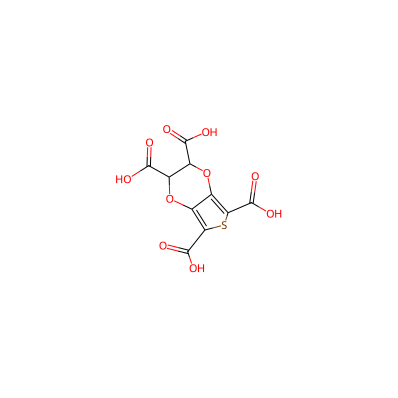 O=C(O)c1sc(C(=O)O)c2c1OC(C(=O)O)C(C(=O)O)O2